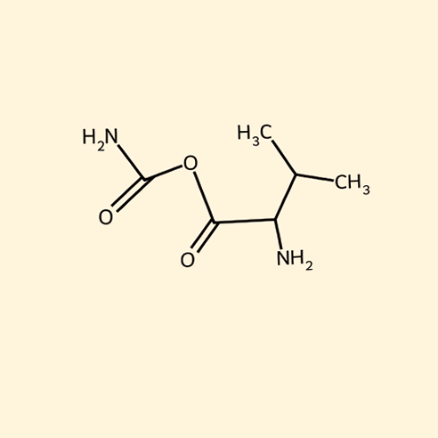 CC(C)C(N)C(=O)OC(N)=O